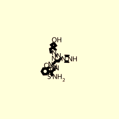 C[C@]1(c2nc(-c3cc(N4CCNCC4)nc(N4CCC5(CC(O)C5)C4)n3)no2)CCCc2sc(N)c(C#N)c21